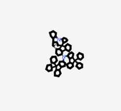 c1ccc(C2(c3ccccc3)c3ccccc3-c3ccc(N(c4cccc5c4-c4ccccc4C5(c4ccccc4)c4ccccc4)c4cccc5c4-c4ccccc4C54c5ccccc5-n5c6ccccc6c6cccc4c65)cc32)cc1